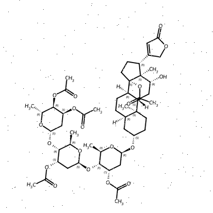 CC(=O)O[C@H]1[C@@H](OC(C)=O)C[C@H](O[C@H]2[C@@H](OC(C)=O)C[C@H](O[C@H]3[C@@H](OC(C)=O)C[C@H](O[C@H]4CC[C@@]5(C)[C@H](CC[C@@H]6[C@@H]5C[C@@H](O)[C@]5(C)[C@@H](C7=CC(=O)OC7)CC[C@]65OC(C)=O)C4)O[C@@H]3C)O[C@@H]2C)O[C@@H]1C